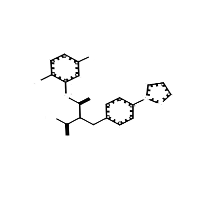 CC(=O)C(Cc1ccc(-n2cccn2)cc1)C(=O)Nc1cc(O)ccc1F